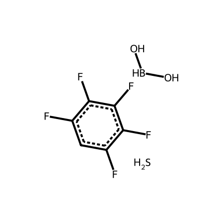 Fc1cc(F)c(F)c(F)c1F.OBO.S